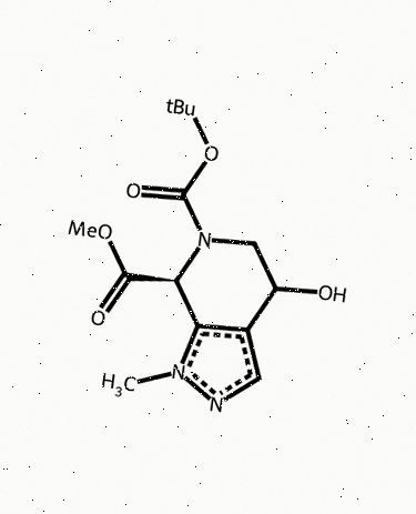 COC(=O)[C@@H]1c2c(cnn2C)C(O)CN1C(=O)OC(C)(C)C